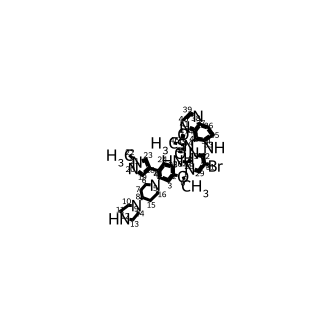 COc1cc(N2CCC(N3CCNCC3)CC2)c(-c2cnn(C)c2)cc1Nc1ncc(Br)c(Nc2ccc3nccnc3c2NS(C)(=O)=O)n1